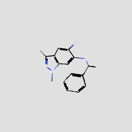 CCc1nn(C)c2cc(NC(C)c3ccccc3)c(N)cc12